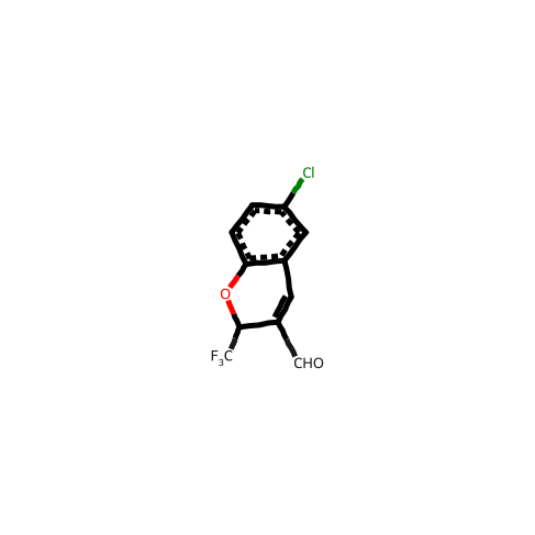 O=CC1=Cc2cc(Cl)ccc2OC1C(F)(F)F